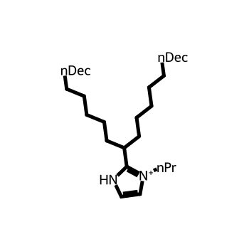 CCCCCCCCCCCCCCCC(CCCCCCCCCCCCCCC)c1[nH]cc[n+]1CCC